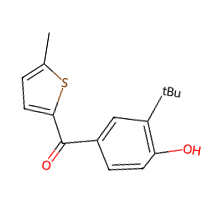 Cc1ccc(C(=O)c2ccc(O)c(C(C)(C)C)c2)s1